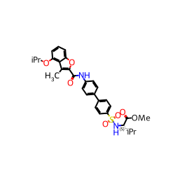 COC(=O)[C@@H](NS(=O)(=O)c1ccc(-c2ccc(NC(=O)c3oc4cccc(OC(C)C)c4c3C)cc2)cc1)C(C)C